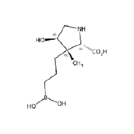 C[C@]1(CCCB(O)O)[C@@H](C(=O)O)NC[C@@H]1O